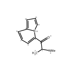 CNC(C)C(=O)c1cccc2cccn12